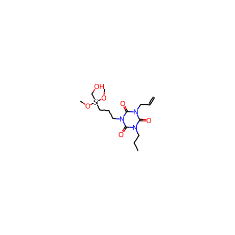 C=CCn1c(=O)n(CCC)c(=O)n(CCC[Si](CO)(OC)OC)c1=O